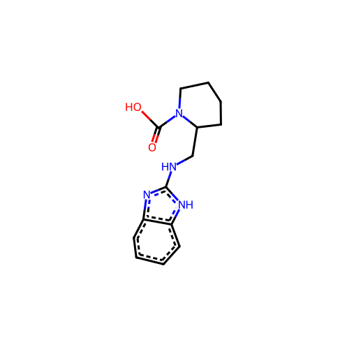 O=C(O)N1CCCCC1CNc1nc2ccccc2[nH]1